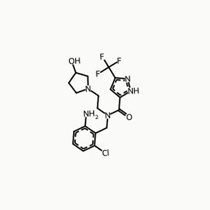 Nc1cccc(Cl)c1CN(CCN1CCC(O)C1)C(=O)c1cc(C(F)(F)F)n[nH]1